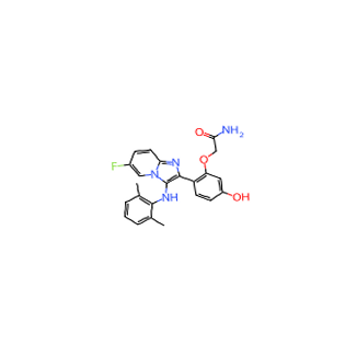 Cc1cccc(C)c1Nc1c(-c2ccc(O)cc2OCC(N)=O)nc2ccc(F)cn12